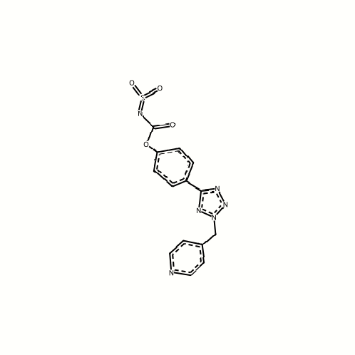 O=C(N=S(=O)=O)Oc1ccc(-c2nnn(Cc3ccncc3)n2)cc1